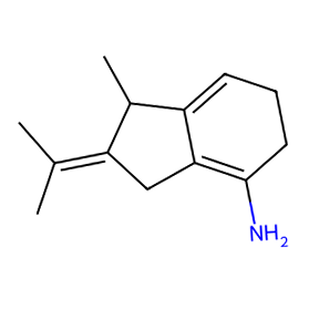 CC(C)=C1CC2=C(N)CCC=C2C1C